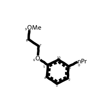 [CH2]CCc1cccc(OCCOC)c1